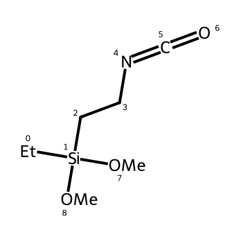 CC[Si](CCN=C=O)(OC)OC